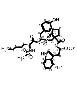 CS(=O)(=O)N[C@@H](CCCCN)C(=O)N[C@@H](Cc1ccc(O)cc1)[P@@](=O)(O)CC1(C(=O)N[C@@H](Cc2c[nH]c3ccccc23)C(=O)[O-])CCCC1.[Li+]